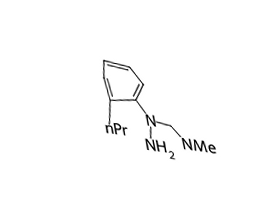 CCCc1ccccc1N(N)CNC